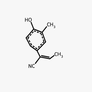 C/C=C(/C#N)c1ccc(O)c(C)c1